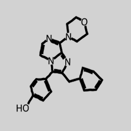 Oc1ccc(-c2c(Cc3ccccc3)nc3c(N4CCOCC4)nccn23)cc1